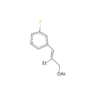 CC/C(=C\c1cccc(F)c1)COC(C)=O